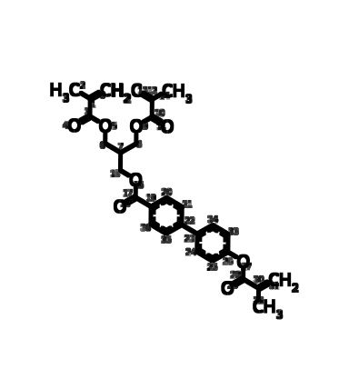 C=C(C)C(=O)OCC(COC(=O)C(=C)C)COC(=O)c1ccc(-c2ccc(OC(=O)C(=C)C)cc2)cc1